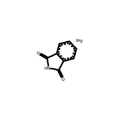 O=C1NC(=O)c2ccccc21.[Mg]